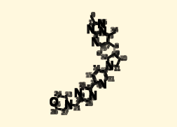 Cc1nc2nc(C)c(C[C@@H]3CCN(c4ccc(-c5cnc(CN6CCOCC6)cn5)nc4)C3)c(C)n2n1